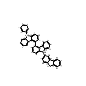 c1ccc(-n2c3ccccc3c3c(-c4cccc5c4c4ccccc4n5-c4ccc5sc6ccccc6c5c4)cccc32)cc1